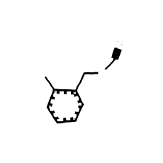 N#CSCc1ccccc1F